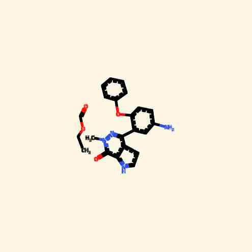 CCOC=O.Cn1nc(-c2cc(N)ccc2Oc2ccccc2)c2cc[nH]c2c1=O